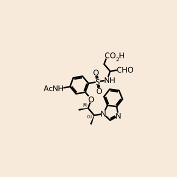 CC(=O)Nc1ccc(S(=O)(=O)NC(C=O)CC(=O)O)c(O[C@H](C)[C@H](C)n2cnc3ccccc32)c1